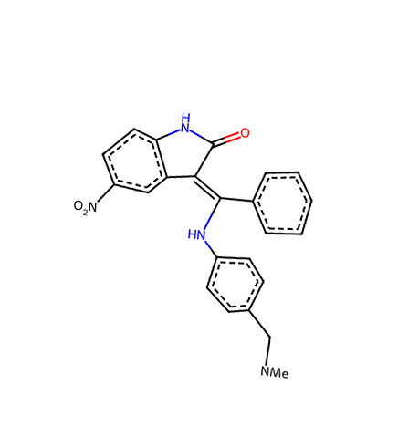 CNCc1ccc(NC(=C2C(=O)Nc3ccc([N+](=O)[O-])cc32)c2ccccc2)cc1